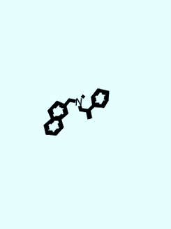 C=C(CN(C)Cc1ccc2ccccc2c1)c1ccccc1